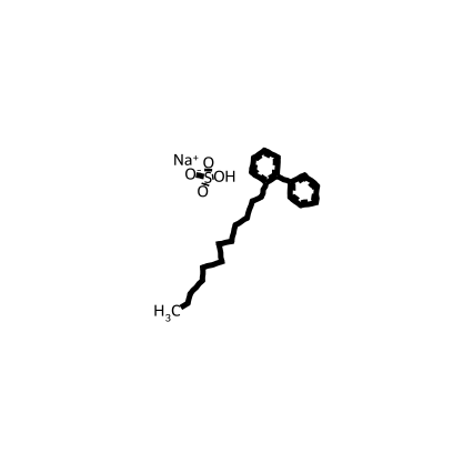 CCCCCCCCCCCCc1ccccc1-c1ccccc1.O=S(=O)([O-])O.[Na+]